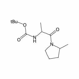 CC(NC(=O)OC(C)(C)C)C(=O)N1CCCC1C